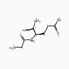 NCC(=O)N[C@H](CCC(=O)O)C(N)=O